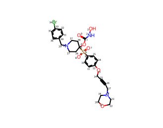 O=C(NO)OC1(S(=O)(=O)c2ccc(OCC#CCN3CCOCC3)cc2)CCN(Cc2ccc(Br)cc2)CC1